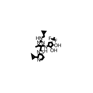 Cc1nc(NCC2CC2)nc(NC2C[C@H](C(C)(F)F)[C@@H](O)[C@H]2O)c1-c1nc2c(C3CC3)nccc2s1